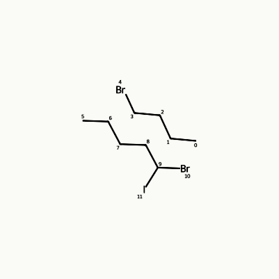 CCCCBr.CCCCC(Br)I